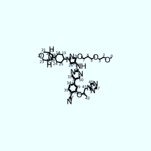 COCCOCCCOc1nn(C2CCC(N3[C@@H]4CC[C@H]3COC4)CC2)cc1Nc1ncc(-c2ccc(C#N)c(OC(C)Cn3cncn3)c2)cn1